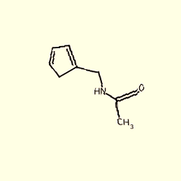 CC(=O)NCC1=CC=CC1